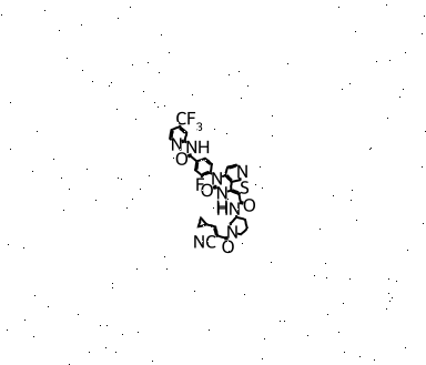 N#CC(=CC1CC1)C(=O)N1CCCC(NC(=O)c2sc3nccc4c3c2NC(=O)N4c2ccc(C(=O)Nc3cc(C(F)(F)F)ccn3)cc2F)C1